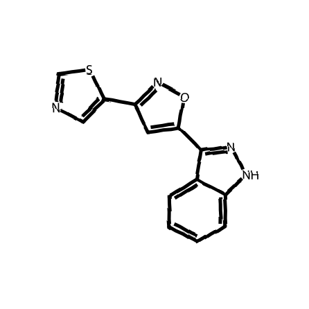 c1ccc2c(-c3cc(-c4cncs4)no3)n[nH]c2c1